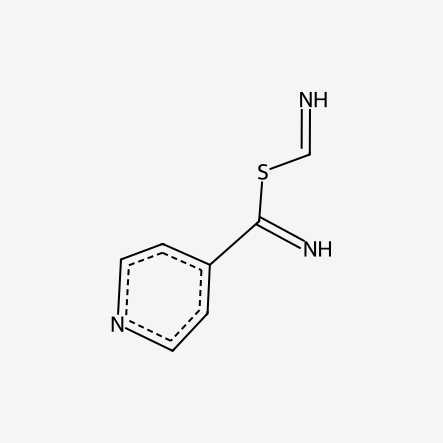 N=CSC(=N)c1ccncc1